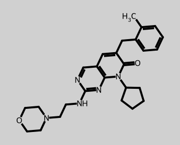 Cc1ccccc1Cc1cc2cnc(NCCN3CCOCC3)nc2n(C2CCCC2)c1=O